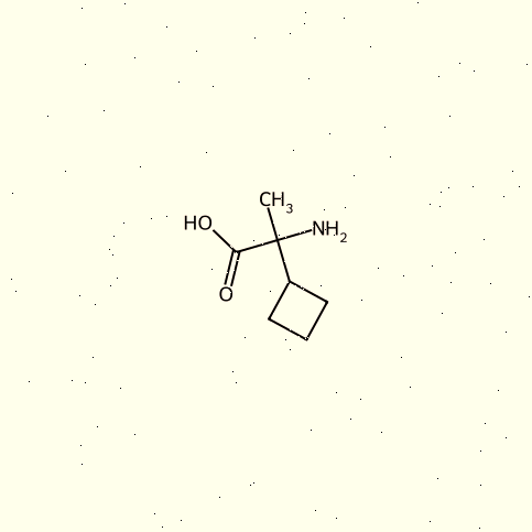 CC(N)(C(=O)O)C1CCC1